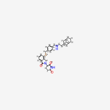 O=C1CCC(N2Cc3c(SCc4ccc(CNCCC5CC6CCCC(C6)C5)cc4)cccc3C2=O)C(=O)N1